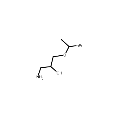 CCCC(C)OCC(O)CN